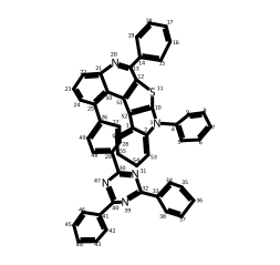 C1=c2c(n(-c3ccccc3)c3sc4c(-c5ccccc5)nc5cccc(-c6ccc(-c7nc(-c8ccccc8)nc(-c8ccccc8)n7)cc6)c5c4c23)=CCC1